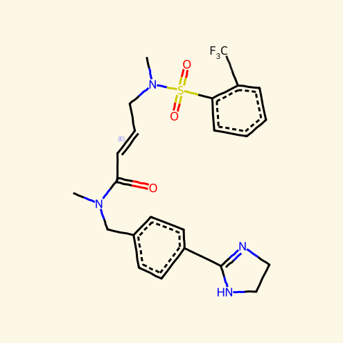 CN(Cc1ccc(C2=NCCN2)cc1)C(=O)/C=C/CN(C)S(=O)(=O)c1ccccc1C(F)(F)F